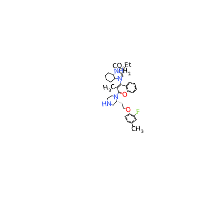 C=CN(/C(=C(\C)C(=O)N1CCNC[C@H]1CCOc1ccc(C)cc1F)c1ccccc1)[C@H]1CCCC[C@@H]1NC(=O)OCC